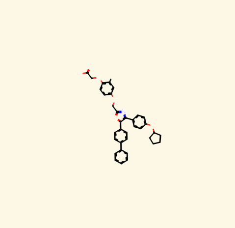 Cc1cc(OCc2nc(-c3ccc(OC4CCCC4)cc3)c(-c3ccc(-c4ccccc4)cc3)o2)ccc1OCC(=O)O